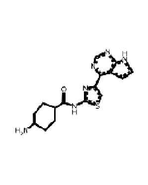 NC1CCC(C(=O)Nc2nc(-c3ncnc4[nH]ccc34)cs2)CC1